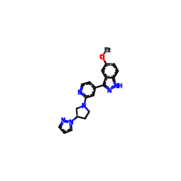 CCOc1ccc2[nH]nc(-c3ccnc(N4CCC(n5cccn5)C4)c3)c2c1